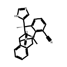 CC(c1c(C#N)cccc1[C@](C)(c1cnc[nH]1)C1Cc2ccccc2CN1)S(C)(=O)=O